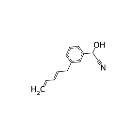 C=C/C=C/Cc1cccc(C(O)C#N)c1